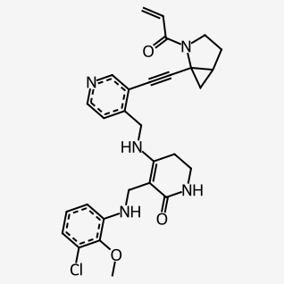 C=CC(=O)N1CCC2CC21C#Cc1cnccc1CNC1=C(CNc2cccc(Cl)c2OC)C(=O)NCC1